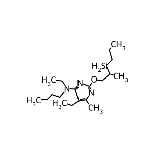 CCCCN(CC)c1nc(OC[C@H](C)[SiH2]CCC)nc(C)c1CC